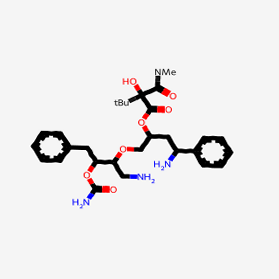 CNC(=O)C(O)(C(=O)OC(COC(CN)C(Cc1ccccc1)OC(N)=O)CC(N)c1ccccc1)C(C)(C)C